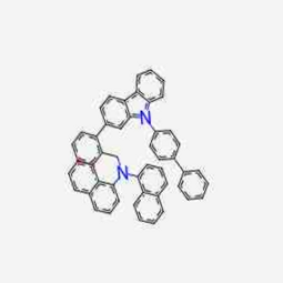 c1ccc(-c2ccc(-n3c4ccccc4c4ccc(-c5ccccc5CN(c5cccc6ccccc56)c5cccc6ccccc56)cc43)cc2)cc1